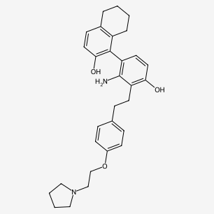 Nc1c(-c2c(O)ccc3c2CCCC3)ccc(O)c1CCc1ccc(OCCN2CCCC2)cc1